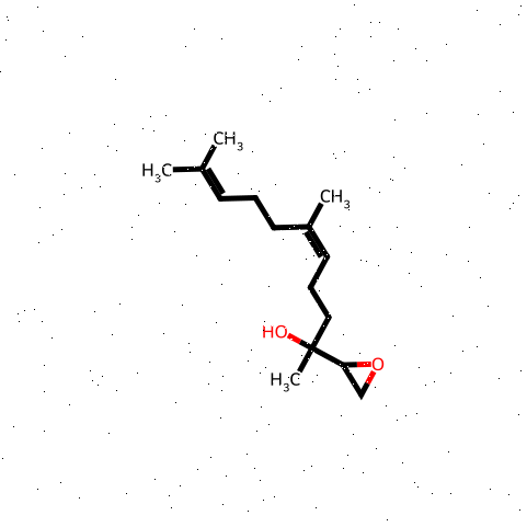 CC(C)=CCCC(C)=CCCC(C)(O)C1CO1